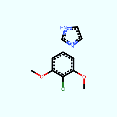 COc1cccc(OC)c1Cl.c1c[nH]cn1